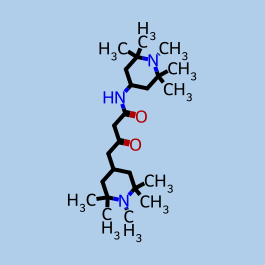 CN1C(C)(C)CC(CC(=O)CC(=O)NC2CC(C)(C)N(C)C(C)(C)C2)CC1(C)C